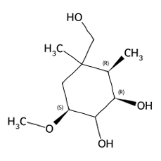 CO[C@H]1CC(C)(CO)[C@@H](C)[C@@H](O)C1O